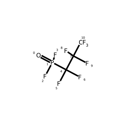 O=P(F)(F)C(F)(F)C(F)(F)C(F)(F)F